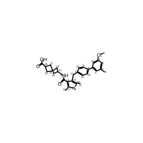 COc1cc(C)cc(-c2ccc(Cc3c(C)sc(C)c3C(=O)NC3CC4(C3)CC(C(=O)O)C4)cc2)c1